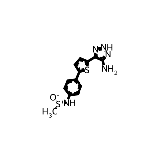 C[S+]([O-])Nc1ccc(-c2ccc(-c3n[nH]nc3N)s2)cc1